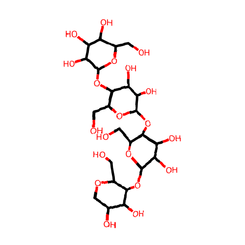 OCC1OC(OC2C(CO)OC(OC3C(CO)OC(OC4C(CO)OCC(O)C4O)C(O)C3O)C(O)C2O)C(O)C(O)C1O